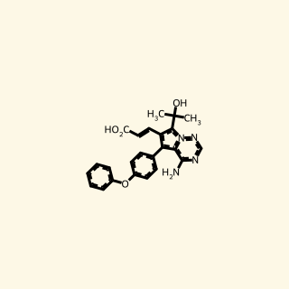 CC(C)(O)c1c(/C=C/C(=O)O)c(-c2ccc(Oc3ccccc3)cc2)c2c(N)ncnn12